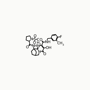 Cc1cc(CNC(=O)c2nc3n(c(=O)c2O)CC2CCC3(NC(=O)C3CCCN3S(C)(=O)=O)CC2)ccc1F